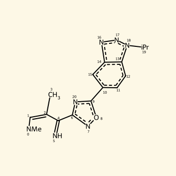 CN/C=C(/C)C(=N)c1noc(-c2ccc3c(c2)nnn3C(C)C)n1